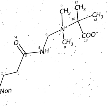 CCCCCCCCCCCC(=O)NC[N+](C)(C)C(C)(C)C(=O)[O-]